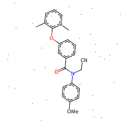 COc1ccc(N(CC#N)C(=O)c2cccc(Oc3c(C)cccc3C)c2)cc1